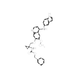 COc1cc2c(Nc3ccc4[nH]ccc4c3)ccnc2cc1OCC1(NC(=O)OCc2ccccc2)CC1